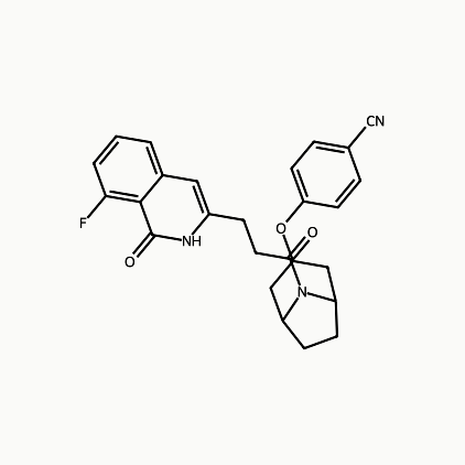 N#Cc1ccc(OC2CC3CCC(C2)N3C(=O)CCc2cc3cccc(F)c3c(=O)[nH]2)cc1